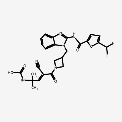 CC(C)(C=C(C#N)C(=O)N1CC(Cn2c(NC(=O)c3ccc(C(F)F)s3)nc3ccccc32)C1)NC(=O)O